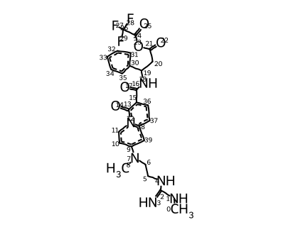 CNC(=N)NCCN(C)c1ccn2c(=O)c(C(=O)NC(CC(=O)OC(=O)C(F)(F)F)c3ccccc3)ccc2c1